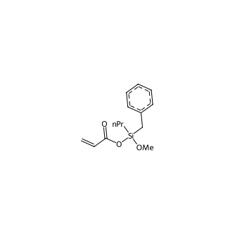 C=CC(=O)O[Si](CCC)(Cc1ccccc1)OC